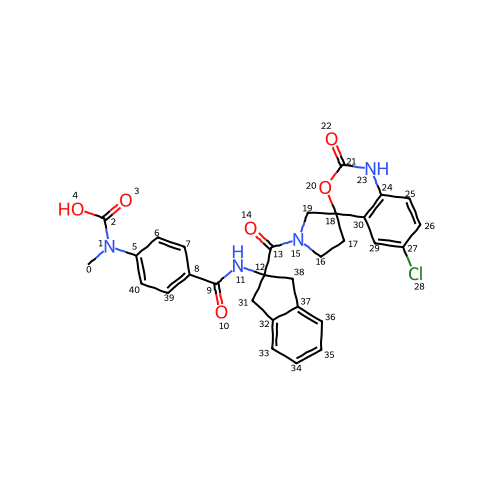 CN(C(=O)O)c1ccc(C(=O)NC2(C(=O)N3CCC4(C3)OC(=O)Nc3ccc(Cl)cc34)Cc3ccccc3C2)cc1